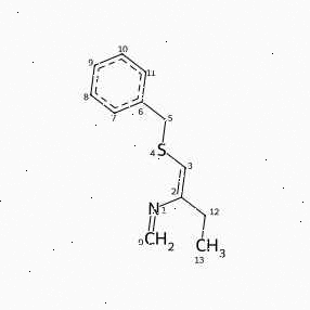 C=N/C(=C\SCc1ccccc1)CC